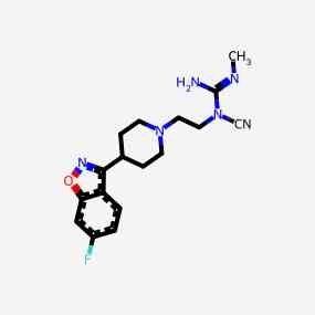 C/N=C(\N)N(C#N)CCN1CCC(c2noc3cc(F)ccc23)CC1